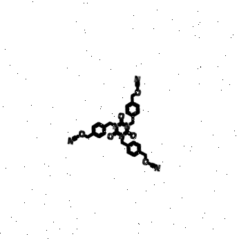 N#COCc1ccc(Cn2c(=O)n(Cc3ccc(COC#N)cc3)c(=O)n(Cc3ccc(COC#N)cc3)c2=O)cc1